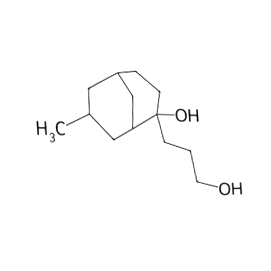 CC1CC2CCC(O)(CCCO)C(C1)C2